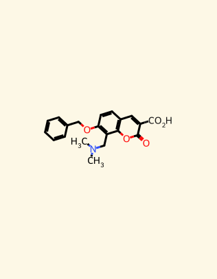 CN(C)Cc1c(OCc2ccccc2)ccc2cc(C(=O)O)c(=O)oc12